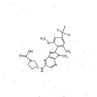 COc1cc(C(F)(F)F)cc(C)c1-c1nc2nc(N[C@@H]3CCN(C(=O)O)C3)cnc2n1C